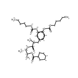 CCCCCOC(=O)Oc1ccc(C[C@H](N)C(=O)O[C@@H](C)C(C)OC(=O)C2CCCCC2)cc1OC(=O)OCCCCC